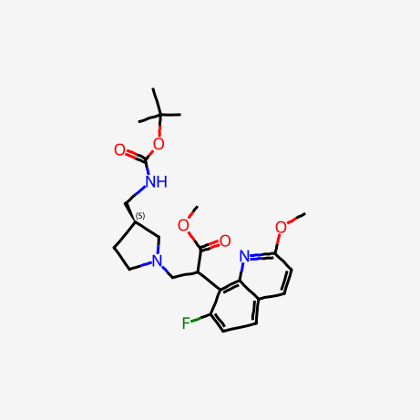 COC(=O)C(CN1CC[C@@H](CNC(=O)OC(C)(C)C)C1)c1c(F)ccc2ccc(OC)nc12